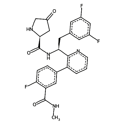 CNC(=O)c1cc(-c2cccnc2[C@H](Cc2cc(F)cc(F)c2)NC(=O)[C@@H]2CC(=O)CN2)ccc1F